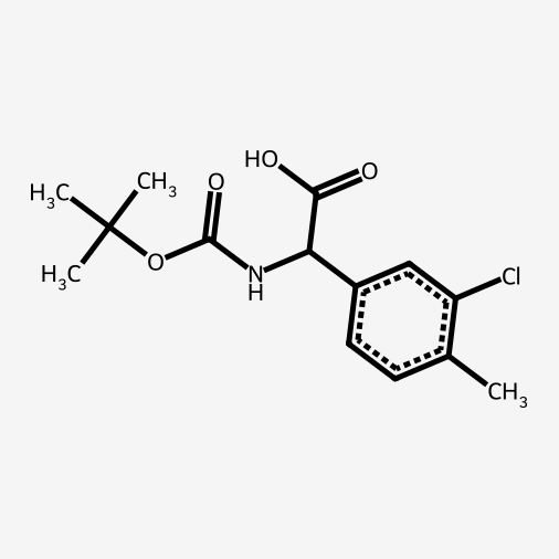 Cc1ccc(C(NC(=O)OC(C)(C)C)C(=O)O)cc1Cl